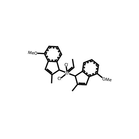 C[CH]=[Zr]([Cl])([Cl])([CH]1C(C)=Cc2c(OC)cccc21)[CH]1C(C)=Cc2c(OC)cccc21